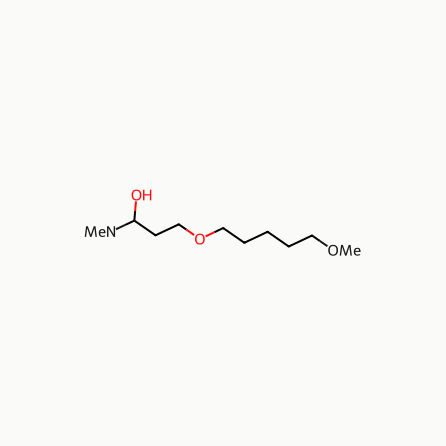 CNC(O)CCOCCCCCOC